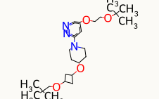 CC(C)(C)COC1CC(OC2CCN(c3cc(OCCOC(C)(C)C)cnn3)CC2)C1